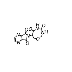 O=C1NCOCC(N2C(=O)c3nccnc3C2=O)C(=O)N1